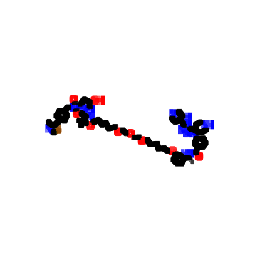 Cc1ncsc1-c1ccc(CNC(=O)[C@@H]2C[C@@H](O)CN2C(=O)[C@@H](NC(=O)CCCCCOCCOCCOCCCCCCOc2cccc([C@@H](C)NC(=O)c3cccc(NC4(c5nnc(-c6ccncc6)[nH]5)CCNCC4)c3)c2)C(C)(C)C)cc1